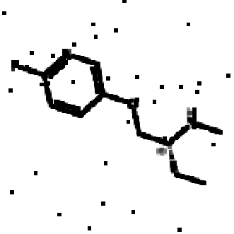 CC[C@H](COc1ccc(F)nc1)NC